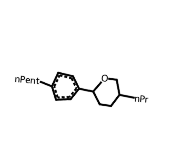 CCCCCc1ccc(C2CCC(CCC)CO2)cc1